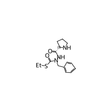 CCSC(=O)N(Cc1ccccc1)NC(=O)[C@@H]1CCCN1